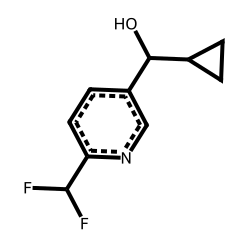 OC(c1ccc(C(F)F)nc1)C1CC1